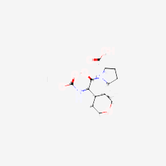 COC(=O)NC(C(=O)N1[C@@H](C)CC[C@H]1C(=O)O)C1CCOCC1